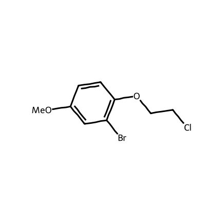 COc1ccc(OCCCl)c(Br)c1